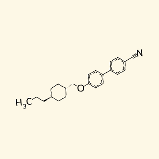 CCC[C@H]1CC[C@H](COc2ccc(-c3ccc(C#N)cc3)cc2)CC1